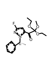 CCOC(OC)(OCC)C(=O)c1cc(F)nn1[C@H](C)c1ccccc1